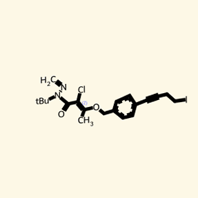 C=NN(C(=O)/C(Cl)=C(\C)OCc1ccc(C#CCCI)cc1)C(C)(C)C